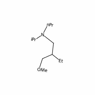 CCCN(CC(CC)COC)C(C)C